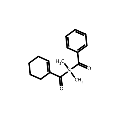 C[Si](C)(C(=O)C1=CCCCC1)C(=O)c1ccccc1